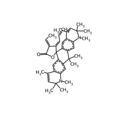 C=C/C=C1\C(=C/C)C(=O)OC12c1cc3c(cc1C(C)(C)c1cc4c(cc12)C(C)=CC(C)(C)N4C)N(C)C(C)(C)C=C3C